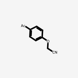 CC(=O)c1ccc(OCC#N)cc1